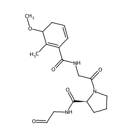 COC1CC=CC(C(=O)NCC(=O)N2CCC[C@H]2C(=O)NCC=O)=C1C